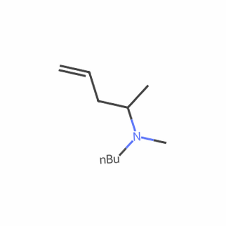 C=CCC(C)N(C)CCCC